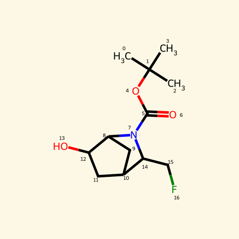 CC(C)(C)OC(=O)N1C2CC(CC2O)C1CF